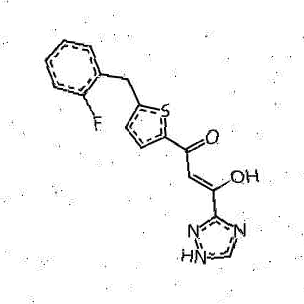 O=C(C=C(O)c1nc[nH]n1)c1ccc(Cc2ccccc2F)s1